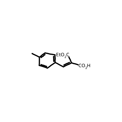 CCOC(=O)/C(=C\c1ccc(C)cc1)C(=O)O